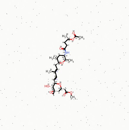 COC(=O)C[C@@H]1C[C@@]2(CO2)[C@H](O)[C@@H](/C=C/C(C)=C/C[C@@H]2O[C@H](C)[C@H](NC(=O)CC[C@H](C)OC(C)=O)C[C@@H]2C)O1